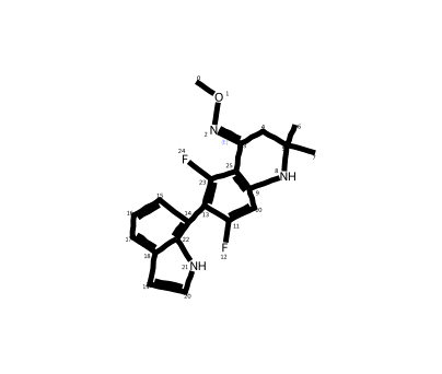 CO/N=C1\CC(C)(C)Nc2cc(F)c(-c3cccc4cc[nH]c34)c(F)c21